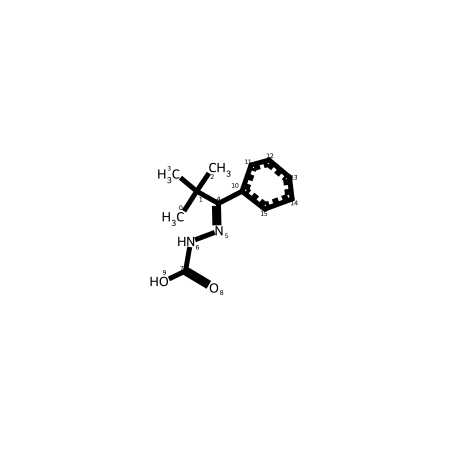 CC(C)(C)C(=NNC(=O)O)c1ccccc1